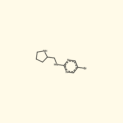 Brc1cnc(NCC2CCCN2)nc1